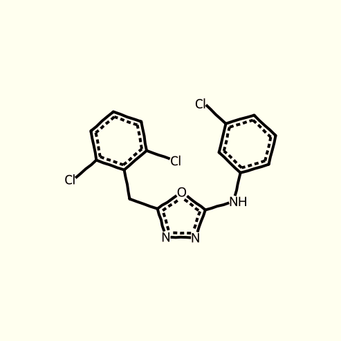 Clc1cccc(Nc2nnc(Cc3c(Cl)cccc3Cl)o2)c1